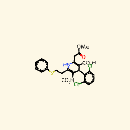 COC(=O)CC1=C(C(=O)O)C(c2c(Cl)cccc2Cl)C(C(=O)O)=C(CCSc2ccccc2)N1